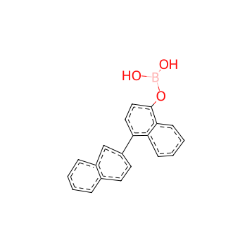 OB(O)Oc1ccc(-c2ccc3ccccc3c2)c2ccccc12